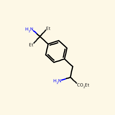 CCOC(=O)C(N)Cc1ccc(C(N)(CC)CC)cc1